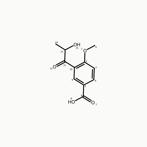 COc1ccc(C(=O)O)cc1C(=O)C(C)O